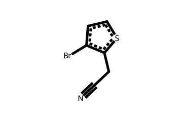 N#CCc1sccc1Br